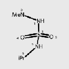 CNNS(=O)(=O)NC(C)C